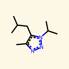 Cc1nnn(C(C)C)c1CC(C)C